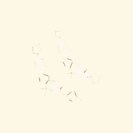 CC1(C)CN(C(=O)NC2CCCC2)Cc2cc(N3CCN(C4CCCC4)CC3)ccc21.Cc1ccc(OC(=O)N2Cc3cc(N4CCN(C5CCCC5)CC4)ccc3C(C)(C)C2)cc1